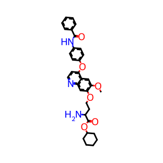 COc1cc2c(Oc3ccc(NC(=O)c4ccccc4)cc3)ccnc2cc1OCCC(N)C(=O)OC1CCCCC1